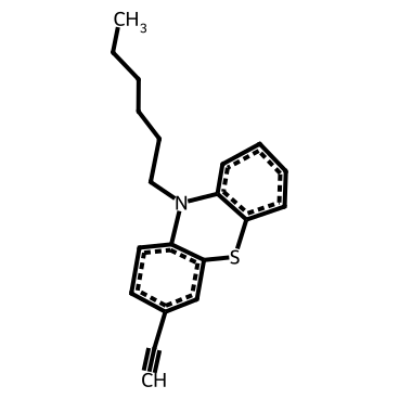 C#Cc1ccc2c(c1)Sc1ccccc1N2CCCCCC